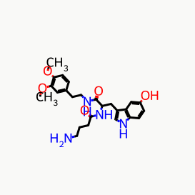 COc1ccc(CCNC(=O)C(Cc2c[nH]c3ccc(O)cc23)NC(=O)CCCN)cc1OC